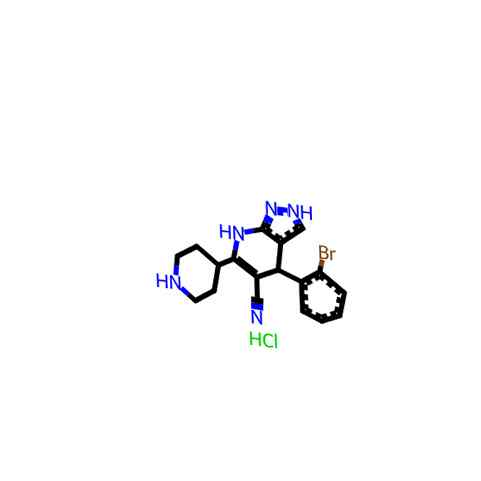 Cl.N#CC1=C(C2CCNCC2)Nc2n[nH]cc2C1c1ccccc1Br